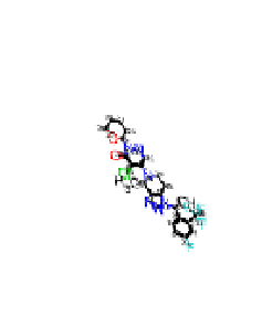 CC(c1ccc(F)cc1C(F)(F)F)n1nnc2c1CCN(c1cnn(C3CCCCO3)c(=O)c1Cl)[C@H]2C